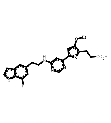 CCOc1cc(-c2cc(NCCc3cc(F)c4sccc4c3)ncn2)sc1CCC(=O)O